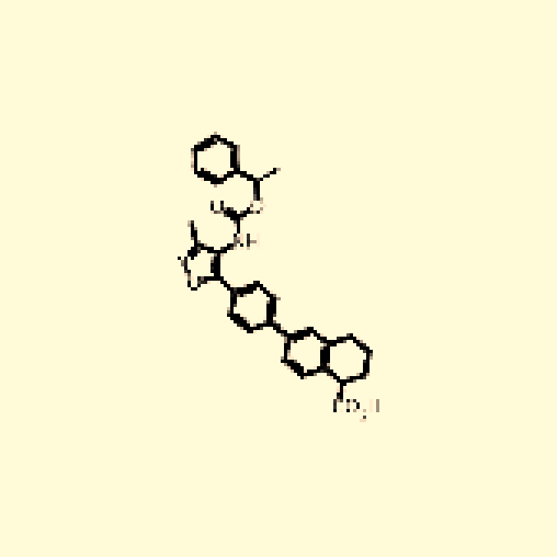 Cc1noc(-c2ccc(-c3ccc4c(c3)CCCC4C(=O)O)cc2)c1NC(=O)O[C@H](C)c1ccccc1